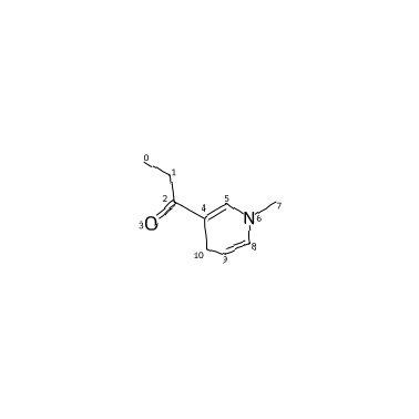 CCC(=O)C1=CN(C)C=CC1